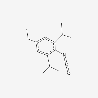 CCc1cc(C(C)C)c(N=C=O)c(C(C)C)c1